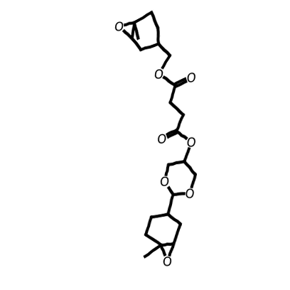 CC12CCC(COC(=O)CCC(=O)OC3COC(C4CCC5(C)OC5C4)OC3)CC1O2